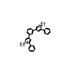 CCn1cc(-c2cccc(-c3cc(-c4ccccc4)n(CC)c3)c2)cc1-c1ccccc1